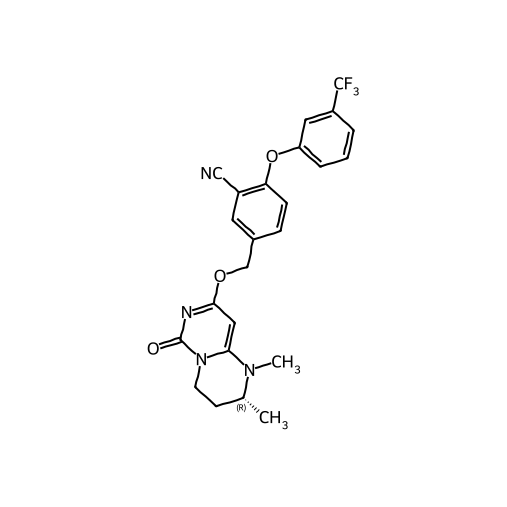 C[C@@H]1CCn2c(cc(OCc3ccc(Oc4cccc(C(F)(F)F)c4)c(C#N)c3)nc2=O)N1C